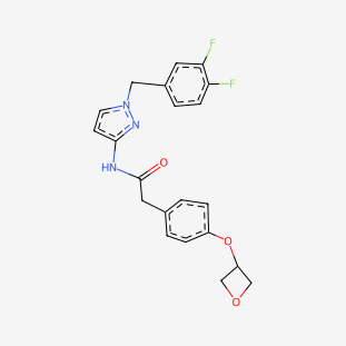 O=C(Cc1ccc(OC2COC2)cc1)Nc1ccn(Cc2ccc(F)c(F)c2)n1